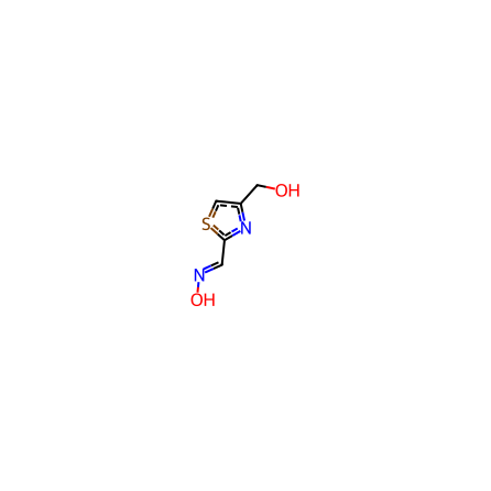 OCc1csc(C=NO)n1